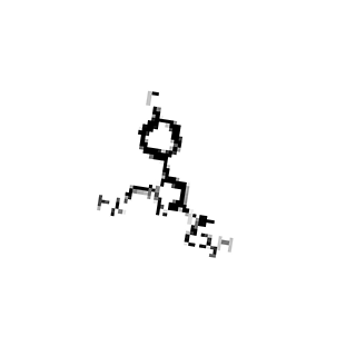 O=C(O)Nc1cc(-c2ccc(F)cc2)n(CC(F)(F)F)n1